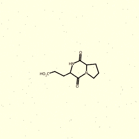 O=C(O)CCC1NC(=O)C2CCCN2C1=O